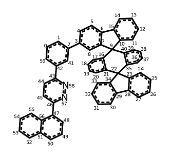 c1cc(-c2ccc3c(c2)C2(c4ccccc4-3)c3ccccc3C3(c4ccccc4-c4ccccc43)c3ccccc32)cc(-c2ccc(-c3cccc4ccccc34)nn2)c1